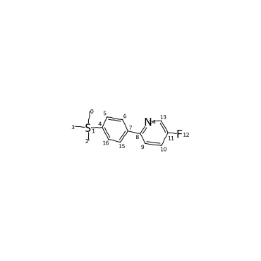 CS(C)(C)c1ccc(-c2ccc(F)cn2)cc1